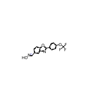 O/N=C/c1ccc2oc(-c3ccc(OC(F)(F)F)cc3)nc2c1